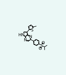 Cc1ccc(-c2c[nH]c3ncc(-c4ccc(S(=O)(=O)C(C)C)cc4)nc23)s1